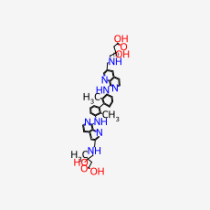 Cc1c(Nc2nccc3cc(CNC[C@@H](O)CC(=O)O)cnc23)cccc1-c1cccc(Nc2nccc3cc(CNCC(C)(O)CC(=O)O)cnc23)c1C